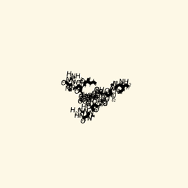 CCCC(C)C(=O)C[C@H]1[C@@H](O)[C@H](n2cnc3c(=O)[nH]c(N)nc32)O[C@@H]1COP(=O)(O)OP(=O)(O)OP(=O)(O)OP(=O)(O)OC[C@H]1O[C@@H](n2cnc3c2N=CCC(CC)=C3N)[C@H](OC)[C@@H]1OP(=O)(O)OC[C@H]1O[C@@H](n2cnc3c(=O)[nH]c(N)nc32)[C@H](O)[C@@H]1O